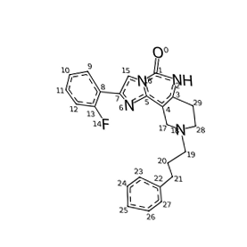 O=c1[nH]c2c(c3nc(-c4ccccc4F)cn13)CN(CCCc1ccccc1)CC2